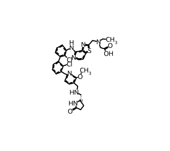 CCN(CC(=O)O)Cc1nc2c(Nc3cccc(-c4cccc(-c5ccc(CNC[C@@H]6CCC(=O)N6)c(OC)n5)c4Cl)c3Cl)nccc2s1